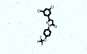 O=C1CC(c2cc(Cl)cc(Cl)c2)=NN1c1ccc(OC(F)(F)F)cc1